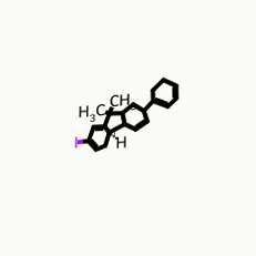 CC1(C)C2=CC(I)=CC[C@@H]2C2C=CC(C3=CC=CCC3)CC21